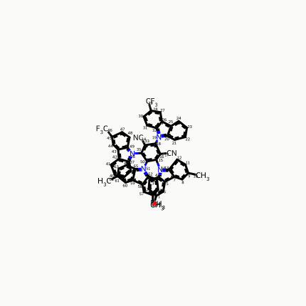 Cc1ccc2c(c1)c1cc(C)ccc1n2-c1c(C#N)c(-n2c3ccccc3c3cc(C(F)(F)F)ccc32)c(C#N)c(-n2c3ccccc3c3cc(C(F)(F)F)ccc32)c1-n1c2ccc(C)cc2c2cc(C)ccc21